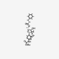 CC(C)COC(=O)Nc1ccn([C@@H]2O[C@H](COC(=O)CCc3ccccc3)[C@@H](O)C2(F)F)c(=O)n1